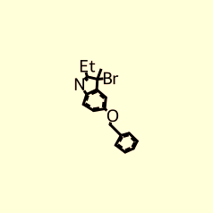 CCC1=Nc2ccc(OCc3ccccc3)cc2C1(C)Br